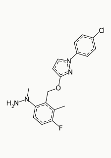 Cc1c(F)ccc(N(C)N)c1COc1ccn(-c2ccc(Cl)cc2)n1